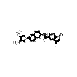 CCn1cc(Cl)c2cc(C(=O)NC3CCc4nc(N5CC(N)C(OC(C)C)C5)ccc4C3)nnc21